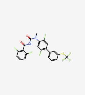 CN(C(=O)NC(=O)c1c(F)cccc1F)c1cc(F)c(-c2cccc(SC(F)(F)F)c2)cc1F